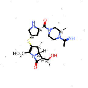 CC(=N)N1CCN(C(=O)[C@@H]2C[C@H](SC3=C(C(=O)O)N4C(=O)[C@H]([C@@H](C)O)[C@H]4[C@H]3C)CN2)C[C@@H]1C